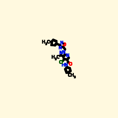 Cc1ccc(NC(=O)c2cnc3c(c(C)nn3Cc3nc(-c4ccc(C)cc4)no3)c2Cl)cc1